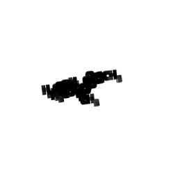 COC(C)(C)C(C)(C)OBc1cn(C)c2ccc(OS(=O)(=O)c3ccc(C)cc3)cc12